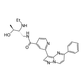 CCN[C@H](CNC(=O)c1ccnc(-c2cnn3ccc(-c4ccccc4)nc23)c1)[C@H](C)O